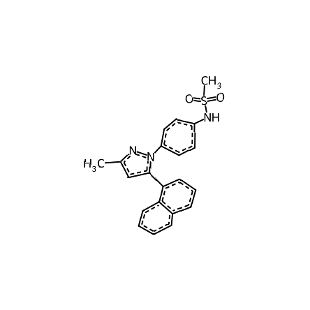 Cc1cc(-c2cccc3ccccc23)n(-c2ccc(NS(C)(=O)=O)cc2)n1